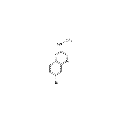 CNc1cnc2cc(Br)ccc2c1